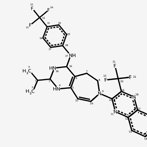 CC(C)C1NC2=C(CCN(c3nc4ccccc4nc3C(F)(F)F)C=C2)C(Nc2ccc(C(F)(F)F)cc2)N1